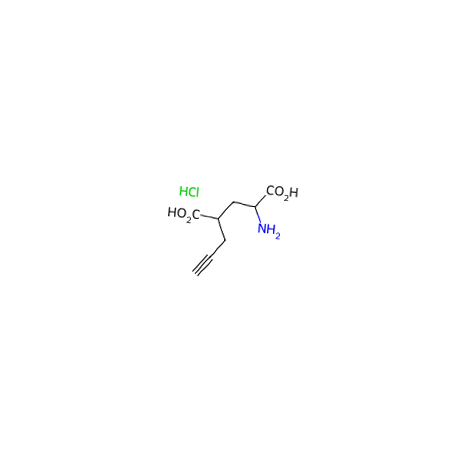 C#CCC(CC(N)C(=O)O)C(=O)O.Cl